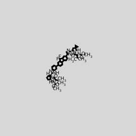 COC(=O)NC(C(=O)N1[C@@H]2CC[C@@H](C2)[C@H]1c1nc2ccc(-c3ccc4c(c3)C(F)(F)c3cc(-c5cnc([C@@H]6CC7(CC7)CN6C(=O)[C@H](NC(=O)OC)C(C)C)[nH]5)ccc3-4)cc2[nH]1)C(C)C